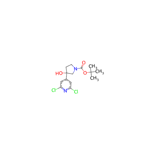 CC(C)(C)OC(=O)N1CCC(O)(c2cc(Cl)nc(Cl)c2)C1